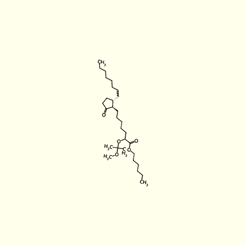 CCCCCC/C=C\[C@H]1CCC(=O)[C@@H]1CCCCCC(OC(C)(C)OC)C(=O)OCCCCCC